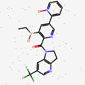 CC[S+]([O-])c1cc(-c2cccc[n+]2[O-])cnc1C(=O)N1CCc2ncc(C(F)(F)F)cc21